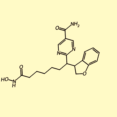 NC(=O)c1cnc(C(CCCCCC(=O)NO)C2COc3ccccc32)nc1